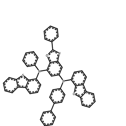 c1ccc(-c2ccc(N(c3cc(N(c4ccccc4)c4cccc5c4sc4ccccc45)c4oc(-c5ccccc5)nc4c3)c3cccc4c3oc3ccccc34)cc2)cc1